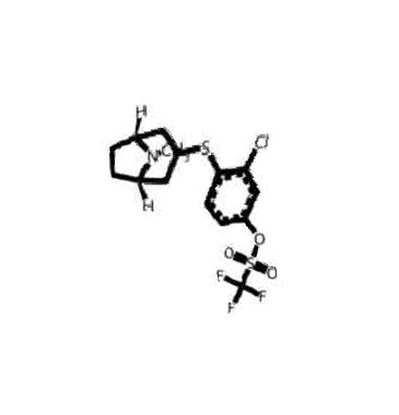 CN1[C@@H]2CC[C@H]1CC(Sc1ccc(OS(=O)(=O)C(F)(F)F)cc1Cl)C2